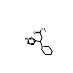 NC(=O)CC(c1cc[nH]n1)N1CCCCC1